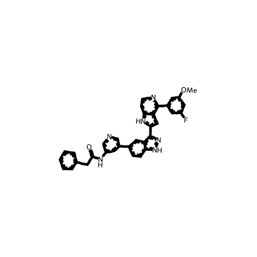 COc1cc(F)cc(-c2nccc3[nH]c(-c4n[nH]c5ccc(-c6cncc(NC(=O)Cc7ccccc7)c6)cc45)cc23)c1